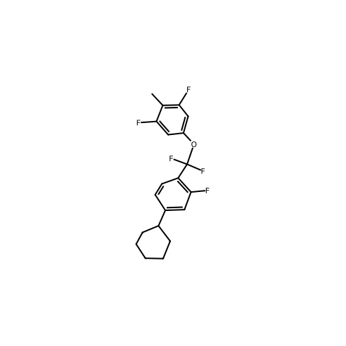 Cc1c(F)cc(OC(F)(F)c2ccc(C3CCCCC3)cc2F)cc1F